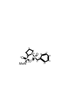 CNS(=O)(=O)C1CCCN1S(=O)(=O)Cc1ccccc1